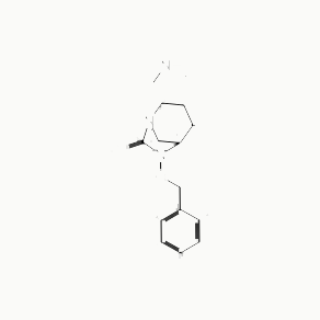 NC[C@@H]1CCC2CN1C(=O)N2OCc1ccccc1